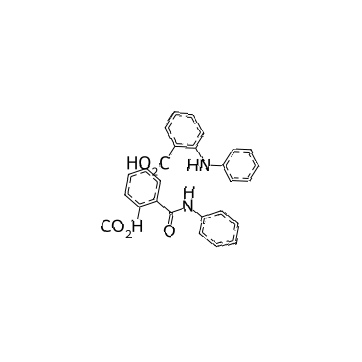 O=C(O)c1ccccc1C(=O)Nc1ccccc1.O=C(O)c1ccccc1Nc1ccccc1